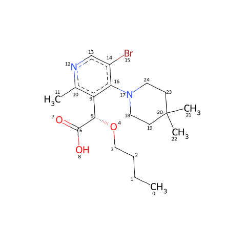 CCCCO[C@H](C(=O)O)c1c(C)ncc(Br)c1N1CCC(C)(C)CC1